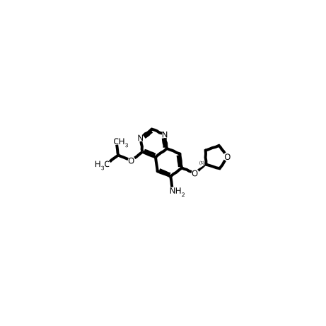 CC(C)Oc1ncnc2cc(O[C@H]3CCOC3)c(N)cc12